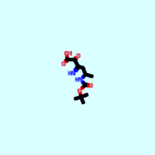 CC(CC(=N)C(=O)C(=O)O)NC(=O)OC(C)(C)C